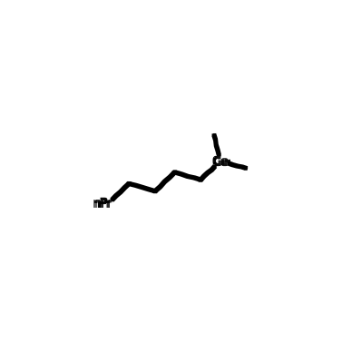 CCCCCC[CH2][Ge]([CH3])[CH3]